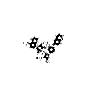 CCc1nn(-c2ccccc2)c(N)c1C(=O)O.Cc1cnc(C(=O)O)c(N)n1.Nc1ccc2ncccc2c1.Nc1cccc2ncccc12